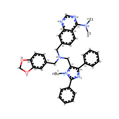 CCCCn1c(-c2ccccc2)nc(-c2ccccc2)c1CN(Cc1ccc2c(c1)OCO2)Cc1ccc2c(N(CC)CC)ncnc2c1